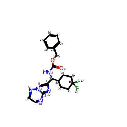 O=C(N[C@H](c1cn2nccnc2n1)C1CCC(F)(F)CC1)OCc1ccccc1